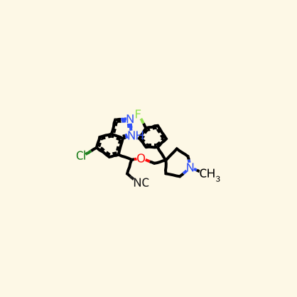 [C-]#[N+]CC(OCC1(c2ccc(F)cc2)CCN(C)CC1)c1cc(Cl)cc2cn[nH]c12